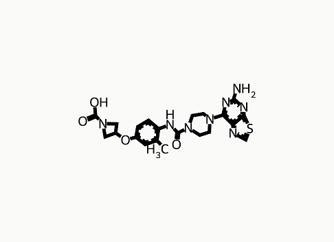 Cc1cc(OC2CN(C(=O)O)C2)ccc1NC(=O)N1CCN(c2nc(N)nc3scnc23)CC1